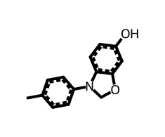 Cc1ccc(N2COc3cc(O)ccc32)cc1